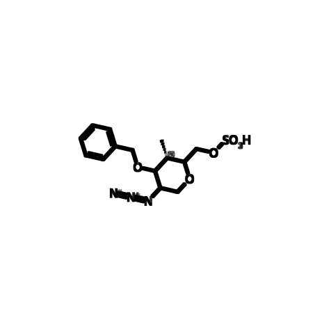 C[C@@H]1C(COS(=O)(=O)O)OCC(N=[N+]=[N-])C1OCc1ccccc1